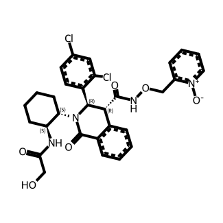 O=C(CO)N[C@H]1CCCC[C@@H]1N1C(=O)c2ccccc2[C@@H](C(=O)NOCc2cccc[n+]2[O-])[C@@H]1c1ccc(Cl)cc1Cl